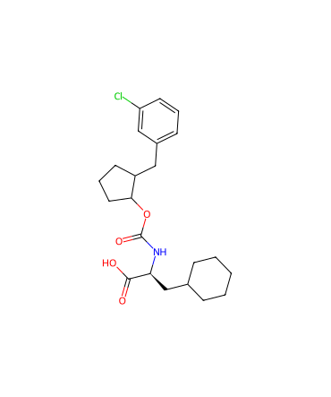 O=C(N[C@@H](CC1CCCCC1)C(=O)O)OC1CCCC1Cc1cccc(Cl)c1